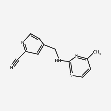 Cc1ccnc(NCc2ccnc(C#N)c2)n1